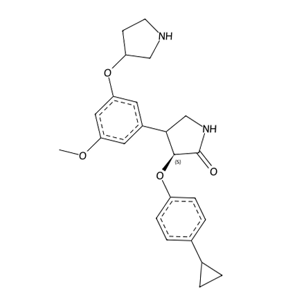 COc1cc(OC2CCNC2)cc(C2CNC(=O)[C@H]2Oc2ccc(C3CC3)cc2)c1